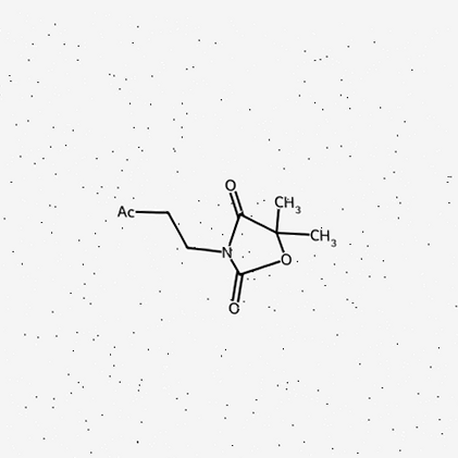 CC(=O)CCN1C(=O)OC(C)(C)C1=O